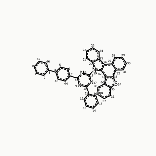 c1ccc(-c2ccc(-c3nc(-c4ccccc4)nc(-n4c5ccccc5c5c6ccccc6c6sc7ccccc7c6c54)n3)cc2)cc1